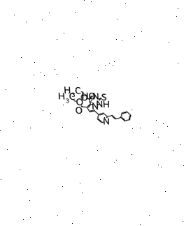 CCOC(=O)c1cc(-c2ccnc(C=Cc3ccccc3)c2)n(NC(N)=S)c1C(=O)OCC